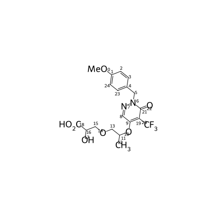 COc1ccc(Cn2ncc(OC(C)COCC(O)C(=O)O)c(C(F)(F)F)c2=O)cc1